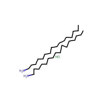 CCCCCCCCCCCCCCCCN.CCCCCCCCCCCCCCCCN.Cl